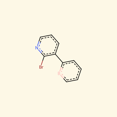 Brc1ncccc1-c1bcccc1